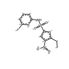 CCc1sc(S(=O)(=O)Nc2cccc(F)n2)cc1[N+](=O)[O-]